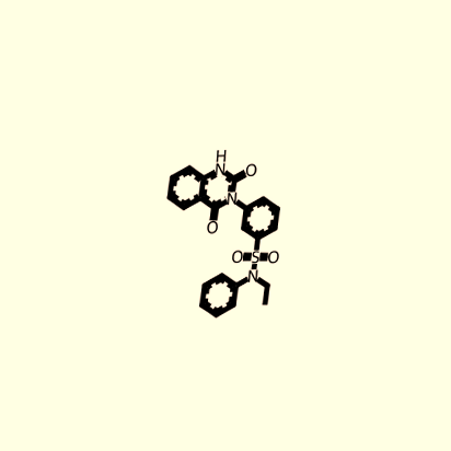 CCN(c1ccccc1)S(=O)(=O)c1cccc(-n2c(=O)[nH]c3ccccc3c2=O)c1